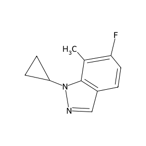 Cc1c(F)ccc2cnn(C3CC3)c12